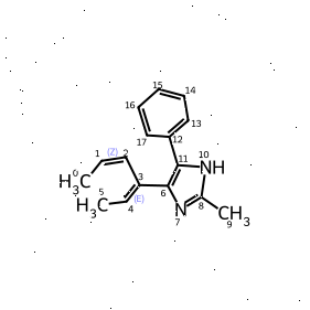 C/C=C\C(=C/C)c1nc(C)[nH]c1-c1ccccc1